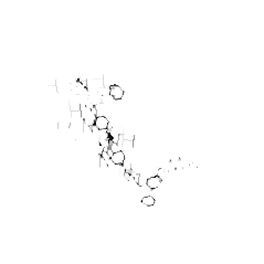 CSc1ccc(-c2ccccc2)c(CN2CCN(c3ccc4c(NS(=O)(=O)c5ccc(NC(CCN(C)C)CSc6ccccc6)c([N+](=O)[O-])c5)ncnc4c3)CC2)c1